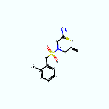 C=CCN(CC(N)=S)S(=O)(=O)Cc1ccccc1C(F)(F)F